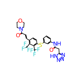 O=C(Cc1nnn[nH]1)Nc1cccc(Sc2ccc(C=CC(=O)N3CCOCC3)c(C(F)(F)F)c2C(F)(F)F)c1